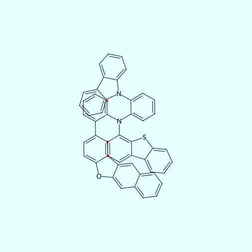 c1ccc(N(c2ccccc2-n2c3ccccc3c3ccccc32)c2cccc3c2sc2ccccc23)c(-c2ccc3oc4cc5ccccc5cc4c3c2)c1